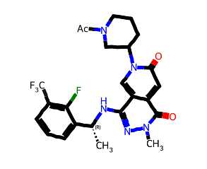 CC(=O)N1CCCC(n2cc3c(N[C@H](C)c4cccc(C(F)(F)F)c4F)nn(C)c(=O)c3cc2=O)C1